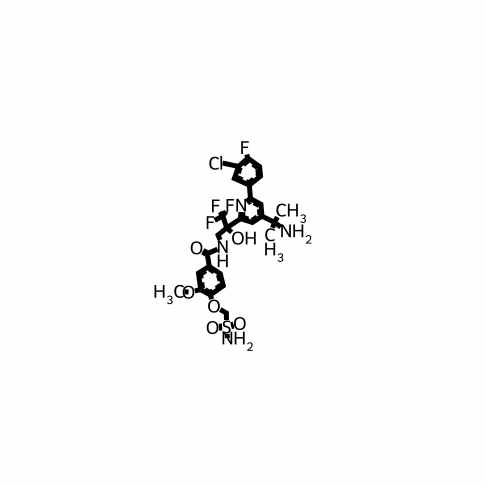 COc1cc(C(=O)NCC(O)(c2cc(C(C)(C)N)cc(-c3ccc(F)c(Cl)c3)n2)C(F)(F)F)ccc1OCS(N)(=O)=O